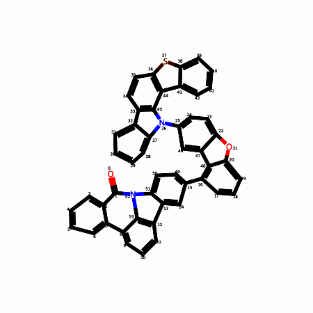 O=c1c2ccccc2c2cccc3c4cc(-c5cccc6oc7ccc(-n8c9ccccc9c9ccc%10sc%11ccccc%11c%10c98)cc7c56)ccc4n1c23